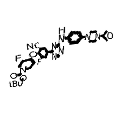 CC(C)(C)OC(=O)N1CC[C@H](Oc2c(F)cc(-c3ncnc(Nc4ccc(N5CCN(C6COC6)CC5)cc4)n3)cc2C#N)[C@H](F)C1